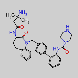 CC(C)(N)CC(=O)N[C@@H]1CCc2ccccc2N(Cc2ccc(-c3ccccc3NC(=O)N3CCNCC3)cc2)C1=O